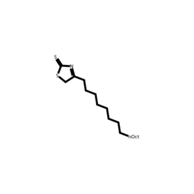 CCCCCCCCCCCCCCCCC1=NC(=S)SC1